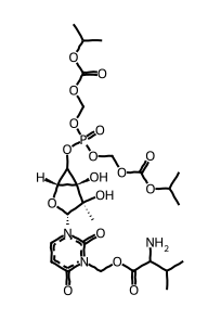 CC(C)OC(=O)OCOP(=O)(OCOC(=O)OC(C)C)OC1[C@H]2O[C@@H](n3ccc(=O)n(COC(=O)C(N)C(C)C)c3=O)[C@](C)(O)[C@@]12O